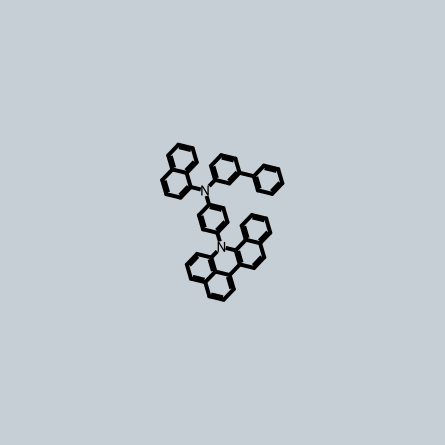 c1ccc(-c2cccc(N(c3ccc(N4c5c(ccc6ccccc56)-c5cccc6cccc4c56)cc3)c3cccc4ccccc34)c2)cc1